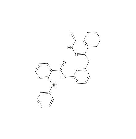 O=C(Nc1cccc(Cc2n[nH]c(=O)c3c2CCCC3)c1)c1ccccc1Nc1ccccc1